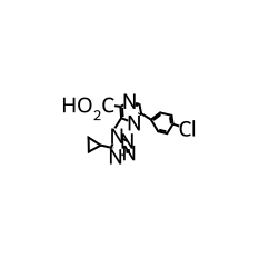 O=C(O)c1ncc(-c2ccc(Cl)cc2)nc1Cn1nnnc1C1CC1